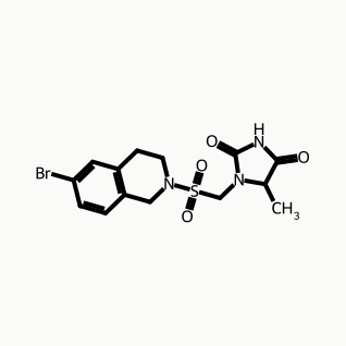 CC1C(=O)NC(=O)N1CS(=O)(=O)N1CCc2cc(Br)ccc2C1